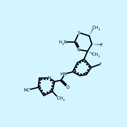 Cc1cc(C#N)cnc1C(=O)Nc1ccc(F)c([C@@]2(C)N=C(N)S[C@H](C)[C@@H]2F)c1